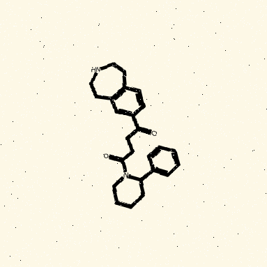 O=C(CCC(=O)N1CCCCC1c1ccccc1)c1ccc2c(c1)CCNCC2